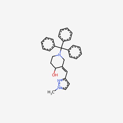 Cn1ccc(C=C2CN(C(c3ccccc3)(c3ccccc3)c3ccccc3)CCC2O)n1